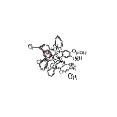 Cc1cc(OP(O)O)c(C(C)(C)C)cc1C(Cc1ccccc1)(c1cc(C(C)(C)C)c(OP(O)O)cc1C)C(Cc1ccccc1)(c1ccc(Cl)cc1C(C)c1ccccc1)C(C)c1ccc(Cl)cc1C(C)c1ccccc1